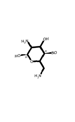 NCC1O[C@@H](O)C(N)C(O)[C@H]1N=O